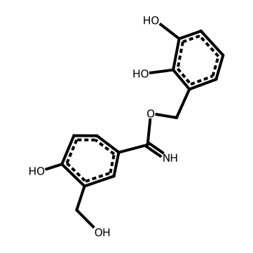 N=C(OCc1cccc(O)c1O)c1ccc(O)c(CO)c1